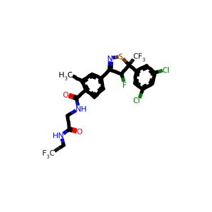 Cc1cc(C2=NSC(c3cc(Cl)cc(Cl)c3)(C(F)(F)F)C2F)ccc1C(=O)NCC(=O)NCC(F)(F)F